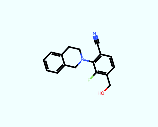 N#Cc1ccc(CO)c(F)c1N1CCc2ccccc2C1